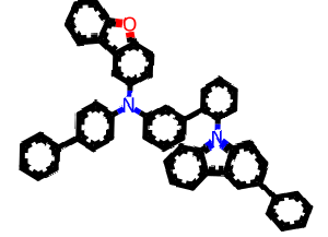 c1ccc(-c2ccc(N(c3cccc(-c4ccccc4-n4c5ccccc5c5cc(-c6ccccc6)ccc54)c3)c3ccc4oc5ccccc5c4c3)cc2)cc1